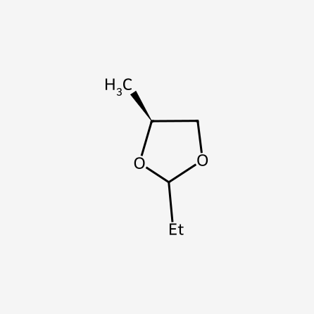 CCC1OC[C@H](C)O1